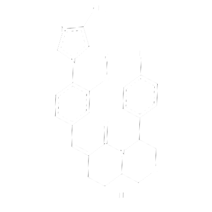 COc1cc(C=C2CC[C@@H]3COCC(c4ccc(F)cc4)N3C2=O)ccc1-n1cnc(C)c1